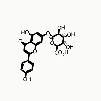 O=C(O)C1O[C@@H](Oc2cc(O)c3c(=O)cc(-c4ccc(O)cc4)oc3c2)C(O)[C@@H](O)[C@@H]1O